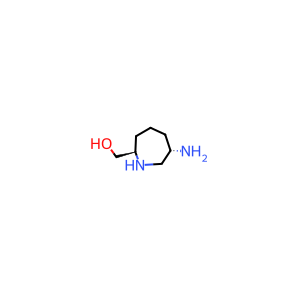 N[C@H]1CCC[C@H](CO)NC1